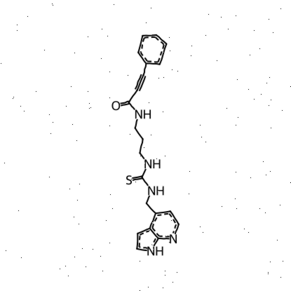 O=C(C#Cc1ccccc1)NCCCNC(=S)NCc1ccnc2[nH]ccc12